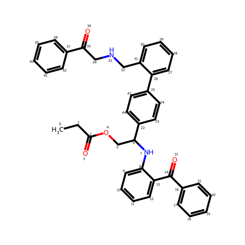 CCC(=O)OCC(Nc1ccccc1C(=O)c1ccccc1)c1ccc(-c2ccccc2CNCC(=O)c2ccccc2)cc1